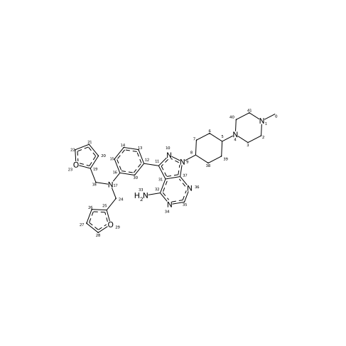 CN1CCN(C2CCC(n3nc(-c4cccc(N(Cc5ccco5)Cc5ccco5)c4)c4c(N)ncnc43)CC2)CC1